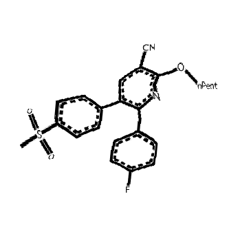 CCCCCOc1nc(-c2ccc(F)cc2)c(-c2ccc(S(C)(=O)=O)cc2)cc1C#N